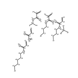 C=C(C)C(=O)OC(C)C.C=C(C)C(=O)OCCCC.C=CC(=O)O.C=CC(=O)OCCCC.C=CC(=O)OCCCCCC.CC(C)C